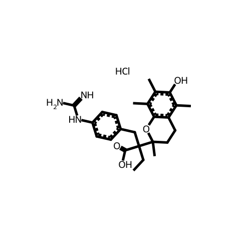 CCC(Cc1ccc(NC(=N)N)cc1)(C(=O)O)C1(C)CCc2c(C)c(O)c(C)c(C)c2O1.Cl